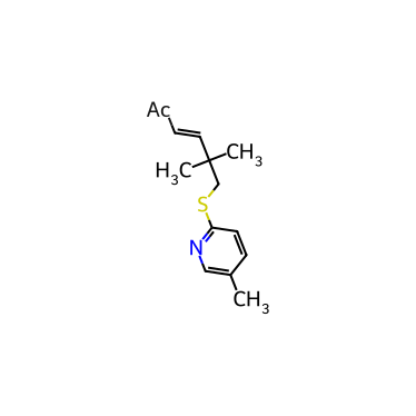 CC(=O)/C=C/C(C)(C)CSc1ccc(C)cn1